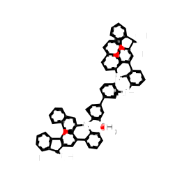 Cc1cc(-c2ccc(N(c3ccc4ccccc4c3)c3c(C)cccc3-c3ccc4c(c3)C(C)(C)c3ccccc3-4)c(C)c2)ccc1N(c1ccc2ccccc2c1)c1c(C)cccc1-c1ccc2c(c1)C(C)(C)c1ccccc1-2